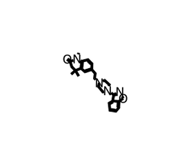 CN1C(=O)CC(C)(C)c2cc(CCN3CCN(c4noc5ccccc45)CC3)ccc21